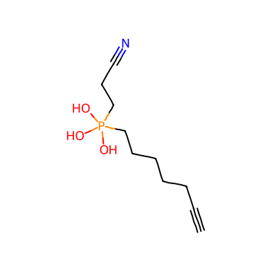 C#CCCCCCP(O)(O)(O)CCC#N